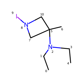 CCN(CC)C1(C)CN(I)C1